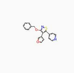 c1ccc(COc2nsc(-c3ccncc3)c2-c2ccoc2)cc1